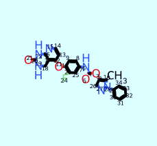 Cc1c(OC(=O)Nc2ccc(Oc3ccnc4c3CNC(=O)N4)c(F)c2)cnn1-c1ccccc1